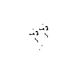 C=Cc1n(CCO)cc[n+]1C.C=Cc1n(CCO)cc[n+]1C.O=S(=O)([O-])[O-]